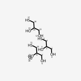 OCC(O)CS.OCC(O)CS.OCC(O)CS.[Sb]